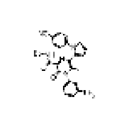 CCNC(=O)c1nc(-c2ccnn2-c2ccc(C#N)cc2)c(C)n(-c2cccc(C(F)(F)F)c2)c1=O